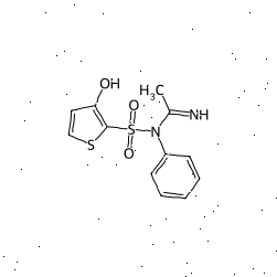 CC(=N)N(c1ccccc1)S(=O)(=O)c1sccc1O